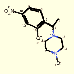 CCN1CCN(C(C)c2ccc([N+](=O)[O-])cc2C(F)(F)F)CC1